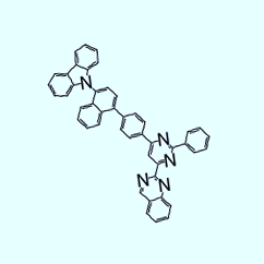 c1ccc(-c2nc(-c3ccc(-c4ccc(-n5c6ccccc6c6ccccc65)c5ccccc45)cc3)cc(-c3ncc4ccccc4n3)n2)cc1